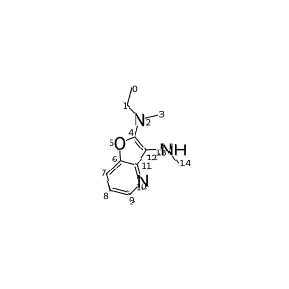 CCN(C)c1oc2cccnc2c1NC